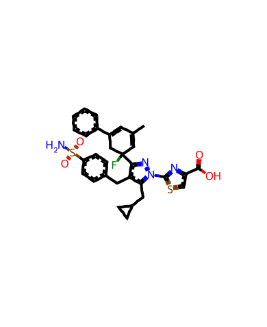 CC1=CC(F)(c2nn(-c3nc(C(=O)O)cs3)c(CC3CC3)c2Cc2ccc(S(N)(=O)=O)cc2)CC(c2ccccc2)=C1